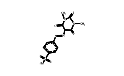 CCCCS(=O)(=O)c1ccc(N=NC2C(=O)N(C)C(=S)N(C)C2=O)cc1